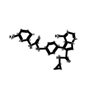 Nc1ncnn2cc(C(=O)NC3CC3)c(-c3ccc(NC(=O)Nc4cccc(C(F)(F)F)n4)cc3)c12